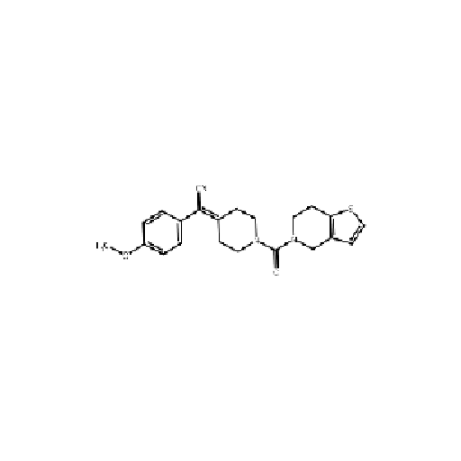 N#CC(=C1CCN(C(=O)N2CCc3sccc3C2)CC1)c1ccc(OC(F)(F)F)cc1